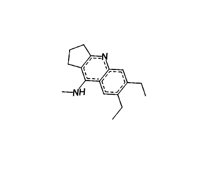 CCc1cc2nc3c(c(NC)c2cc1CC)CCC3